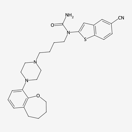 N#Cc1ccc2sc(N(CCCCN3CCN(c4cccc5c4OCCCC5)CC3)C(N)=O)cc2c1